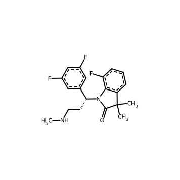 CNCC[C@H](c1cc(F)cc(F)c1)N1C(=O)C(C)(C)c2cccc(F)c21